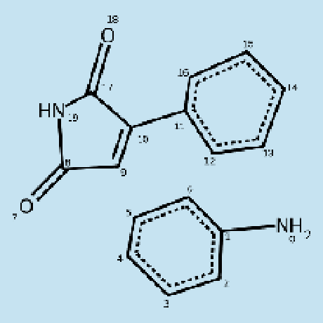 Nc1ccccc1.O=C1C=C(c2ccccc2)C(=O)N1